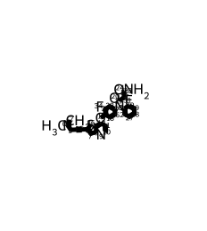 CN(C)CC#Cc1cc2nccc(Oc3ccc(N(C(=O)CC(N)=O)c4ccccc4F)cc3F)c2s1